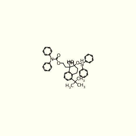 CC(C)(C)c1cccc2c1CCC(O)(O[SiH](c1ccccc1)c1ccccc1)C2(O)CCOC(=O)N(c1ccccc1)c1ccccc1